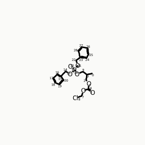 CC(COC(=O)OCCl)COP(=O)(OCc1ccccc1)OCc1ccccc1